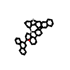 c1ccc(-c2ccc(-c3ccc4ccccc4c3)cc2N(c2ccc(-c3cc4ccccc4c4ccccc34)cc2)c2cccc3sc4ccccc4c23)cc1